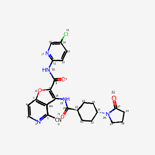 N#Cc1nccc2oc(C(=O)Nc3ccc(Cl)cn3)c(NC(=O)[C@H]3CC[C@H](N4CCCC4=O)CC3)c12